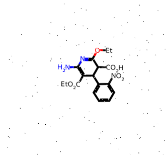 CCOC(=O)C1=C(N)N=C(OCC)C(C(=O)O)C1c1ccccc1[N+](=O)[O-]